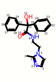 Cc1nccn1CCNC(=O)C(O)(c1ccccc1)c1ccccc1